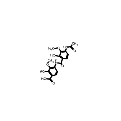 COc1c(NC(=O)c2ccc(NC(C)=O)c(OC)c2O)ccc(C(=O)O)c1O